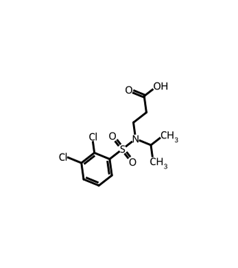 CC(C)N(CCC(=O)O)S(=O)(=O)c1cccc(Cl)c1Cl